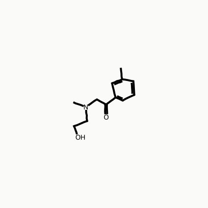 Cc1cccc(C(=O)CN(C)CCO)c1